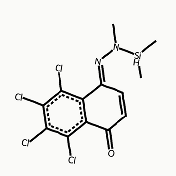 CN(N=C1C=CC(=O)c2c(Cl)c(Cl)c(Cl)c(Cl)c21)[SiH](C)C